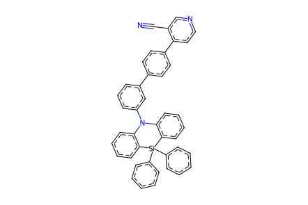 N#Cc1cnccc1-c1ccc(-c2cccc(N3c4ccccc4[Si](c4ccccc4)(c4ccccc4)c4ccccc43)c2)cc1